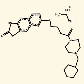 CCO.Cl.Cl.O=C1Cc2cc3cc(OCCCC(=O)N4CCN(CC5CCCCC5)CC4)ccc3nc2N1